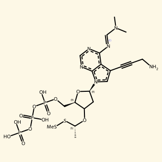 CSS[C@@H](C)OC1C[C@H](n2cc(C#CCN)c3c(/N=C/N(C)C)ncnc32)O[C@@H]1COP(=O)(O)OP(=O)(O)OP(=O)(O)O